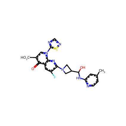 Cc1ccnc(NC(O)C2CN(c3nc4c(cc3F)c(=O)c(C(=O)O)cn4-c3ncns3)C2)c1